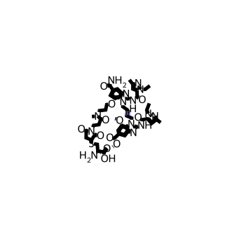 CCn1nc(C)cc1C(=O)Nc1nc2cc(C(=O)OC)cc(OC)c2n1C/C=C/Cn1c(NC(=O)c2cc(C)nn2CC)nc2cc(C(N)=O)cc(OCCCN(C)C(=O)CCN3C(=O)CC(SC[C@H](N)C(=O)O)C3=O)c21